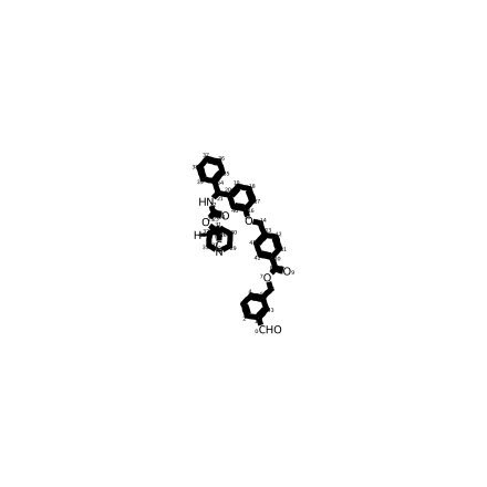 O=Cc1cccc(COC(=O)c2ccc(COc3cccc(C(NC(=O)O[C@H]4CN5CCC4CC5)c4ccccc4)c3)cc2)c1